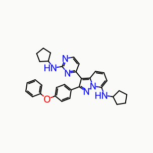 c1ccc(Oc2ccc(-c3nn4c(NC5CCCC5)cccc4c3-c3ccnc(NC4CCCC4)n3)cc2)cc1